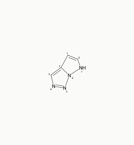 c1cc2cnnn2[nH]1